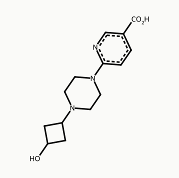 O=C(O)c1ccc(N2CCN(C3CC(O)C3)CC2)nc1